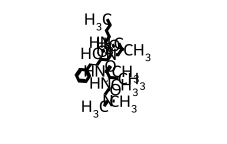 CCCCNS(=O)(=O)N(CC(C)C)C[C@@H](O)[C@H](Cc1ccccc1)NC(=O)[C@@H](NC(=O)CN(C)C)C(C)(C)C